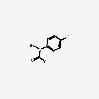 CC(C)N(C(=O)Cl)c1ccc(F)cc1